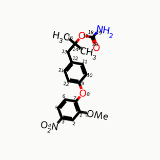 COc1cc([N+](=O)[O-])ccc1Oc1ccc(CC(C)(C)OC(N)=O)cc1